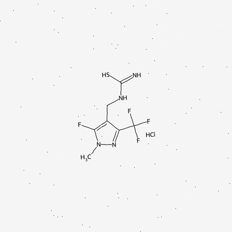 Cl.Cn1nc(C(F)(F)F)c(CNC(=N)S)c1F